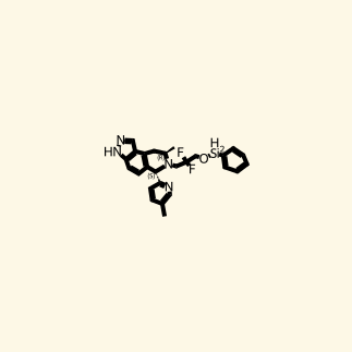 Cc1ccc([C@@H]2c3ccc4[nH]ncc4c3C[C@@H](C)N2CC(F)(F)CO[SiH2]c2ccccc2)nc1